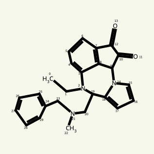 CCN1c2cccc3c2C(C(=O)C3=O)n2cccc2C1CN(C)Cc1ccccc1